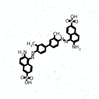 Cc1cc(-c2ccc(N=Nc3c(N)ccc4cc(S(=O)(=O)O)ccc34)c(C)c2)ccc1N=Nc1c(N)ccc2cc(S(=O)(=O)O)ccc12